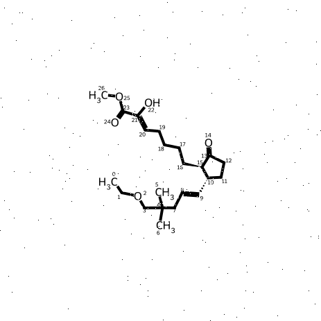 CCOCC(C)(C)C/C=C/[C@H]1CCC(=O)[C@@H]1CCCC/C=C(\O)C(=O)OC